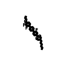 C=CCOc1ccc(-c2ccc(-c3ccc(C4OCC(CCCCCC)CO4)cc3F)cc2)c(F)c1F